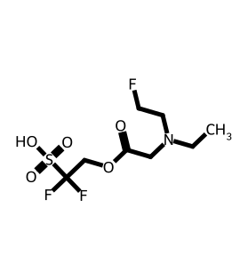 CCN(CCF)CC(=O)OCC(F)(F)S(=O)(=O)O